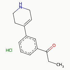 CCC(=O)c1cccc(C2=CCNCC2)c1.Cl